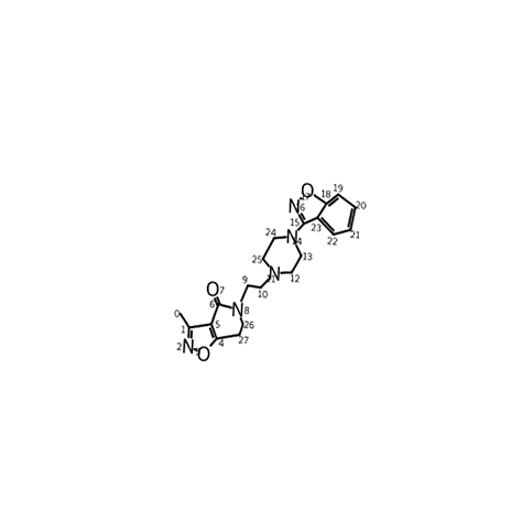 Cc1noc2c1C(=O)N(CCN1CCN(c3noc4ccccc34)CC1)CC2